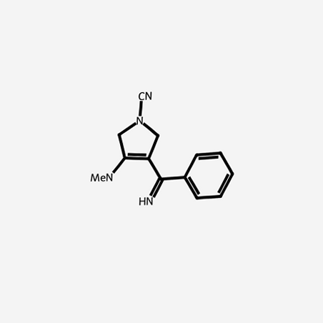 CNC1=C(C(=N)c2ccccc2)CN(C#N)C1